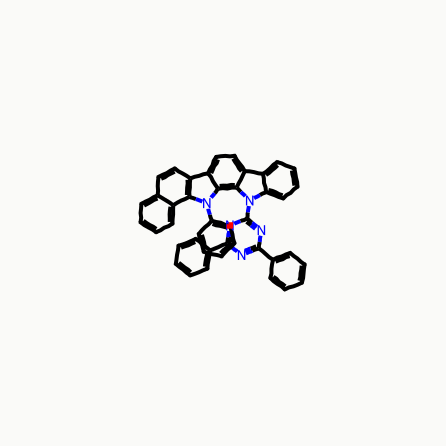 c1ccc(-c2nc(-c3ccccc3)nc(-n3c4ccccc4c4ccc5c6ccc7ccccc7c6n(-c6ccccc6)c5c43)n2)cc1